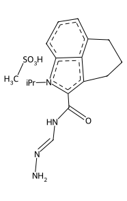 CC(C)n1c(C(=O)NC=NN)c2c3c(cccc31)CCC2.CS(=O)(=O)O